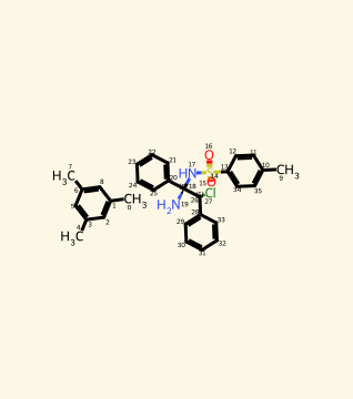 Cc1cc(C)cc(C)c1.Cc1ccc(S(=O)(=O)N[C@@](N)(c2ccccc2)[C@@H](Cl)c2ccccc2)cc1